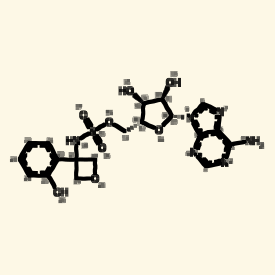 Nc1ncnc2c1ncn2[C@@H]1O[C@H](COS(=O)(=O)NC2(c3ccccc3O)COC2)[C@@H](O)[C@H]1O